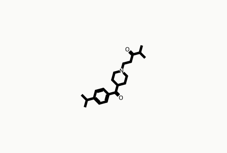 CC(C)C(=O)CCN1CCC(C(=O)c2ccc(C(C)C)cc2)CC1